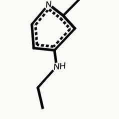 CCNc1ccnc(C)c1